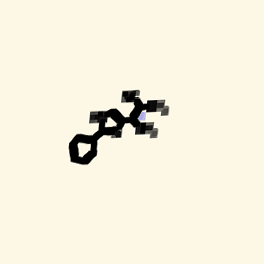 N#C/C(N)=C(/N)c1c[nH]c(-c2ccccc2)n1